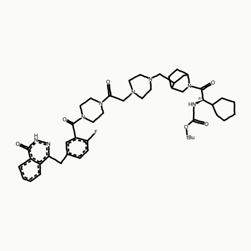 CC(C)(C)OC(=O)N[C@@H](C(=O)N1CC2CCC1CC2CN1CCN(CC(=O)N2CCN(C(=O)c3cc(Cc4n[nH]c(=O)c5ccccc45)ccc3F)CC2)CC1)C1CCCCC1